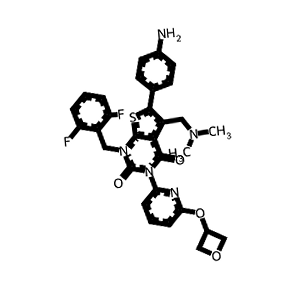 CN(C)Cc1c(-c2ccc(N)cc2)sc2c1c(=O)n(-c1cccc(OC3COC3)n1)c(=O)n2Cc1c(F)cccc1F